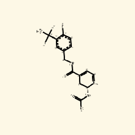 CCC(=O)N[C@@H]1CC(C(=O)NCc2ccc(F)c(C(C)(F)I)c2)=CC=N1